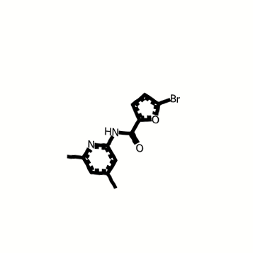 Cc1cc(C)nc(NC(=O)c2ccc(Br)o2)c1